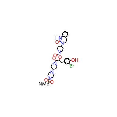 CNS(=O)(=O)N1CCN(C2CCN(C(=O)C(Cc3ccc(O)c(Br)c3)OC(=O)N3CCC(N4CCc5ccccc5NC4=O)CC3)CC2)CC1